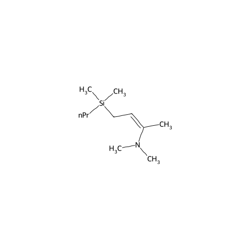 CCC[Si](C)(C)C/C=C(/C)N(C)C